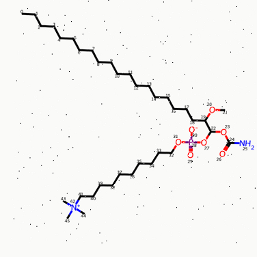 CCCCCCCCCCCCCCCCCCCC(OC)C(OC(N)=O)OP(=O)([O-])OCCCCCCCCCC[N+](C)(C)C